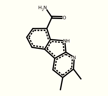 Cc1cc2c(nc1C)[nH]c1c(C(N)=O)cccc12